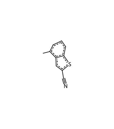 Cc1cccc2sc(C#N)cc12